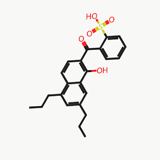 CCCc1cc(CCC)c2ccc(C(=O)c3ccccc3S(=O)(=O)O)c(O)c2c1